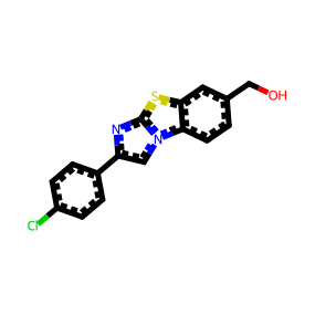 OCc1ccc2c(c1)sc1nc(-c3ccc(Cl)cc3)cn12